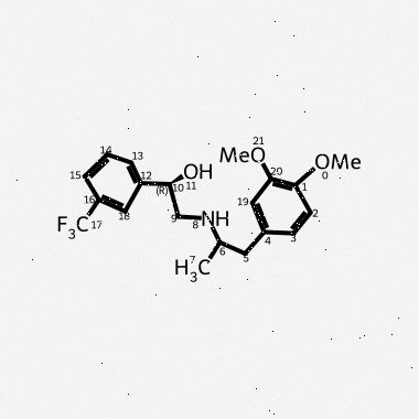 COc1ccc(CC(C)NC[C@H](O)c2cccc(C(F)(F)F)c2)cc1OC